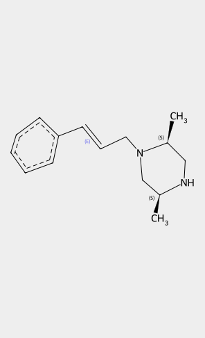 C[C@H]1CN(C/C=C/c2ccccc2)[C@@H](C)CN1